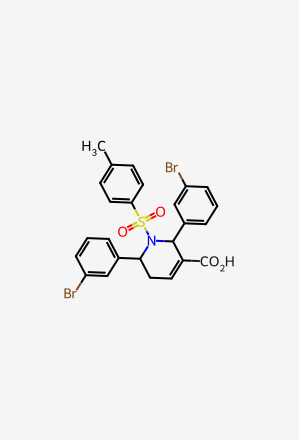 Cc1ccc(S(=O)(=O)N2C(c3cccc(Br)c3)CC=C(C(=O)O)C2c2cccc(Br)c2)cc1